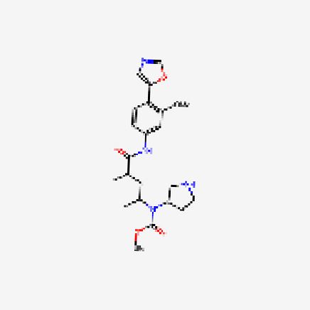 COc1cc(NC(=O)C(C)CC(C)N(C(=O)OC(C)(C)C)C2CCNC2)ccc1-c1cnco1